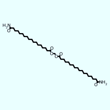 NC(=O)CCCCCCCCCCCCCCCCC(=O)OCOC(=O)CCCCCCCCCCCCCCCCC(N)=O